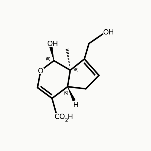 C[C@]12C(CO)=CC[C@@H]1C(C(=O)O)=CO[C@H]2O